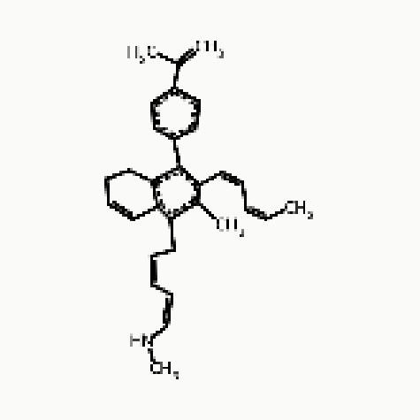 C=C(C)c1ccc(-c2c(/C=C\C=C/C)c(C)c(C/C=C\C=C/NC)c3c2CCC=C3)cc1